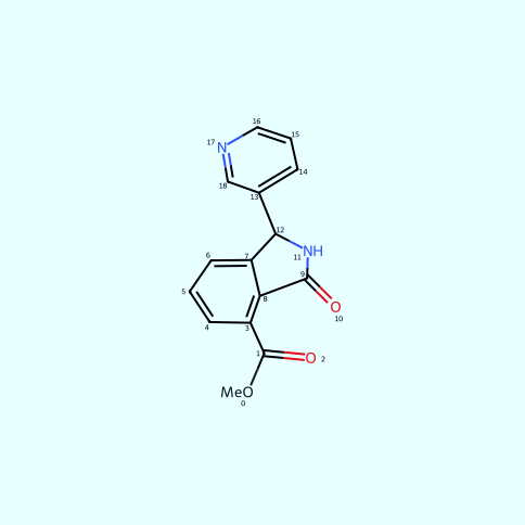 COC(=O)c1cccc2c1C(=O)NC2c1cccnc1